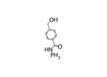 O=C(NP)c1ccc(CO)cc1